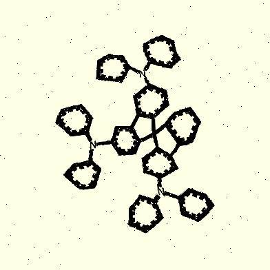 c1ccc(N(c2ccccc2)c2ccc3c(c2)-c2ccccc2C32c3ccc(N(c4ccccc4)c4ccccc4)cc3-c3cc(N(c4ccccc4)c4ccccc4)ccc32)cc1